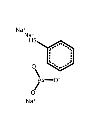 Sc1ccccc1.[Na+].[Na+].[Na+].[O-][As]([O-])[O-]